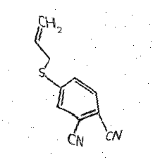 C=CCSc1ccc(C#N)c(C#N)c1